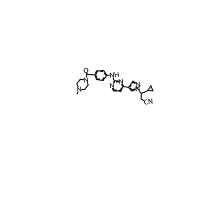 CN1CCN(C(=O)c2ccc(Nc3nccc(-c4cnn(C(CC#N)C5CC5)c4)n3)cc2)CC1